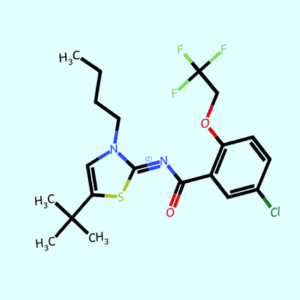 CCCCn1cc(C(C)(C)C)s/c1=N\C(=O)c1cc(Cl)ccc1OCC(F)(F)F